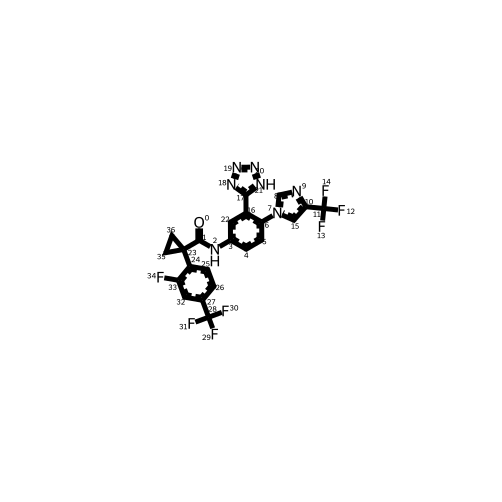 O=C(Nc1ccc(-n2cnc(C(F)(F)F)c2)c(-c2nnn[nH]2)c1)C1(c2ccc(C(F)(F)F)cc2F)CC1